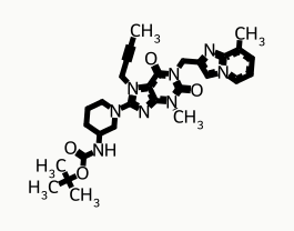 CC#CCn1c(N2CCCC(NC(=O)OC(C)(C)C)C2)nc2c1c(=O)n(Cc1cn3cccc(C)c3n1)c(=O)n2C